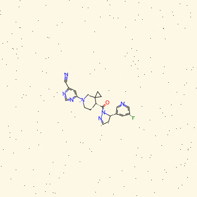 N#Cc1cc(N2CCC(C(=O)N3N=CCC3c3cncc(F)c3)C3(CC3)C2)ncn1